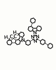 CC1(C)c2ccccc2-c2ccc3c(c21)c1ccccc1n3-c1cccc(-c2nc(-c3ccc(-c4ccccc4)cc3)nc(-n3c4ccccc4c4c(-c5ccccc5)cccc43)n2)c1